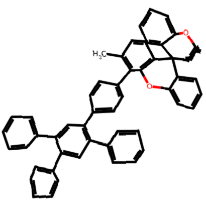 Cc1ccc2c(c1-c1ccc(-c3cc(-c4ccccc4)c(-c4ccccc4)cc3-c3ccccc3)cc1)Oc1ccccc1C21c2ccccc2Oc2ccccc21